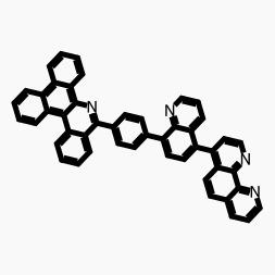 c1cnc2c(c1)ccc1c(-c3ccc(-c4ccc(-c5nc6c7ccccc7c7ccccc7c6c6ccccc56)cc4)c4ncccc34)ccnc12